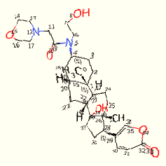 C[C@]12CC[C@H](N(CCO)C(=O)CN3CCOCC3)C[C@H]1CC[C@@H]1[C@@H]2CC[C@]2(C)[C@@H](c3ccc(=O)oc3)CC[C@]12O